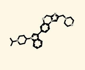 CC(C)N1CCC(n2cc(-c3ccc4c(c3)OCc3nc(CN5CCOCC5)cn3-4)c3ccccc32)CC1